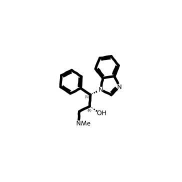 CNC[C@@H](O)[C@H](c1ccccc1)n1cnc2ccccc21